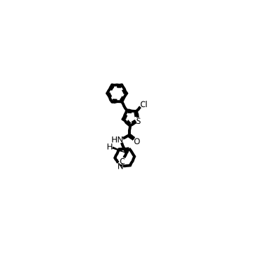 O=C(N[C@H]1CN2CCC1CC2)c1cc(-c2ccccc2)c(Cl)s1